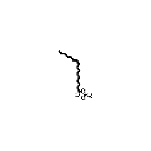 CCCCCC/C=C\CCCCCCCC(=O)OC(=O)OC